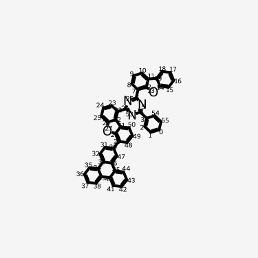 c1ccc(-c2nc(-c3cccc4c3oc3ccccc34)nc(-c3cccc4oc5c(-c6ccc7c8ccccc8c8ccccc8c7c6)cccc5c34)n2)cc1